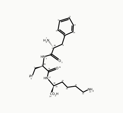 CC(C)C[C@@H](NC(=O)[C@H](N)Cc1ccccc1)C(=O)N[C@@H](CCCCN)C(=O)O